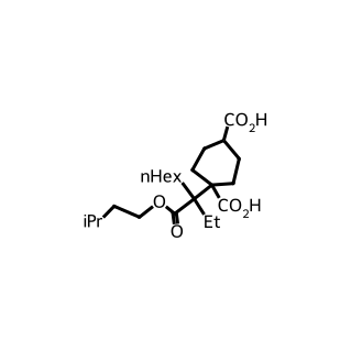 CCCCCCC(CC)(C(=O)OCCC(C)C)C1(C(=O)O)CCC(C(=O)O)CC1